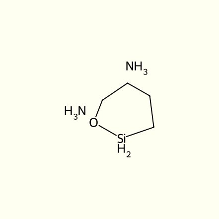 C1CC[SiH2]OC1.N.N